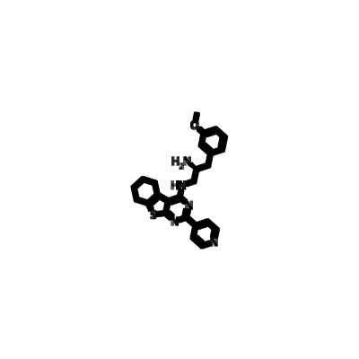 COc1cccc(C[C@H](N)CNc2nc(-c3ccncc3)nc3sc4c(c23)CCCC4)c1